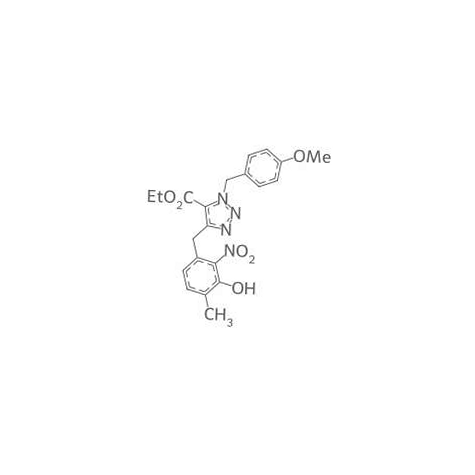 CCOC(=O)c1c(Cc2ccc(C)c(O)c2[N+](=O)[O-])nnn1Cc1ccc(OC)cc1